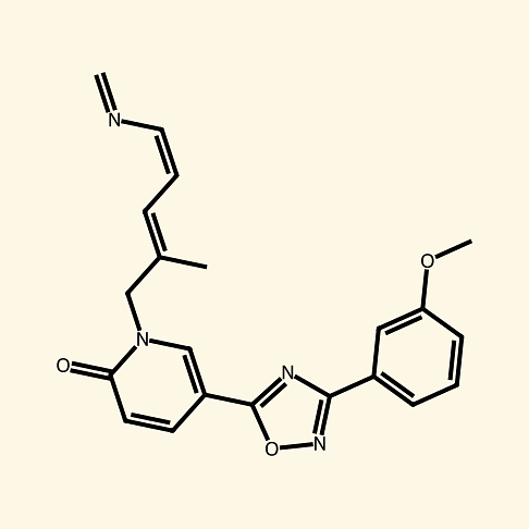 C=N/C=C\C=C(/C)Cn1cc(-c2nc(-c3cccc(OC)c3)no2)ccc1=O